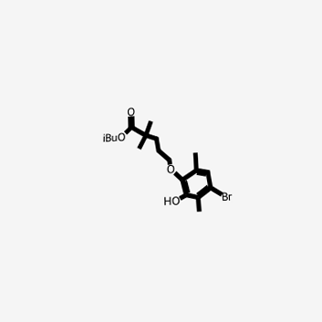 Cc1cc(Br)c(C)c(O)c1OCCCC(C)(C)C(=O)OCC(C)C